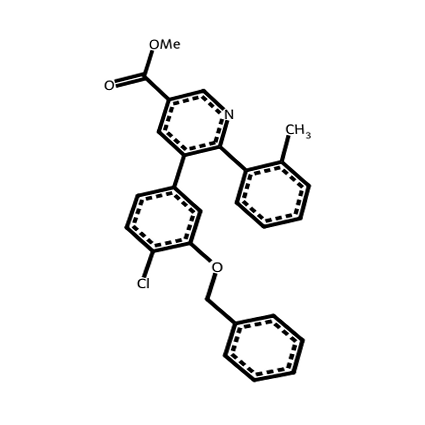 COC(=O)c1cnc(-c2ccccc2C)c(-c2ccc(Cl)c(OCc3ccccc3)c2)c1